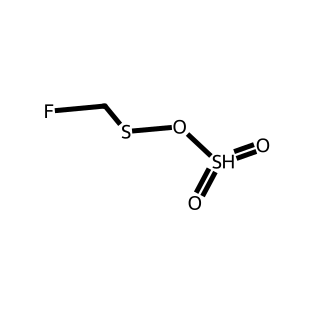 O=[SH](=O)OSCF